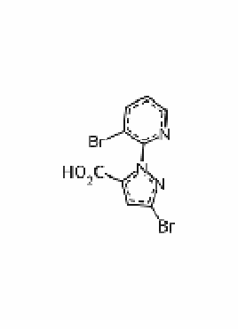 O=C(O)c1cc(Br)nn1-c1ncccc1Br